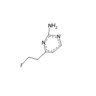 Nc1nccc(CCI)n1